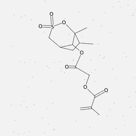 C=C(C)C(=O)OCC(=O)OC1C2CC(C)C1(C)OS(=O)(=O)C2